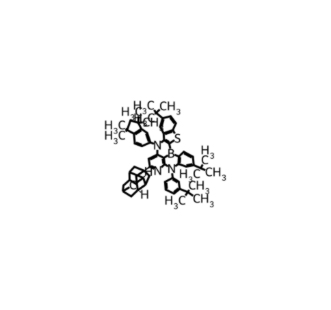 CC(C)(C)c1cccc(N2c3cc(C(C)(C)C)ccc3B3c4sc5ccc(C(C)(C)C)cc5c4N(c4ccc5c(c4)C(C)(C)CC5(C)C)c4cc([C@]56CC7C8CC9C[C@@H]7C(C5)[C@@H](C9)C8C6)nc2c43)c1